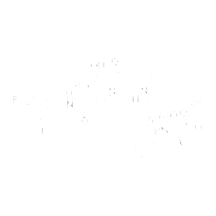 CC(C)OC(=O)[C@@H](C)NP(=O)(CCN1CCC[C@]2(C)C(=O)c3c(O)c(=O)c(C(=O)NCc4ccc(F)cc4F)cn3C[C@H]12)Oc1ccccc1